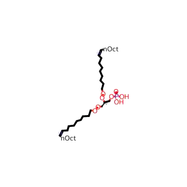 CCCCCCCC/C=C\CCCCCCCCOOC[C@H](COP(=O)(O)O)OOCCCCCCCC/C=C\CCCCCCCC